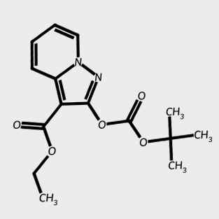 CCOC(=O)c1c(OC(=O)OC(C)(C)C)nn2ccccc12